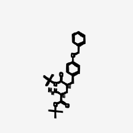 CC(C)(C)OC(=O)[C@@H](Cc1ccc(OCc2ccccc2)cc1)C[C@H](N)C(=O)OC(C)(C)C